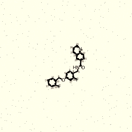 O=C(NCc1ccc(OCc2ccccc2F)cc1F)c1ccc2ncccc2c1